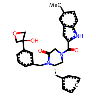 COc1ccc2[nH]c(C(=O)N3CC(=O)N(Cc4cccc(C5(O)COC5)c4)[C@@H](Cc4ccccc4)C3)cc2c1